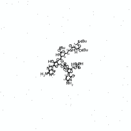 CC(C)(C)OC(=O)N[C@@H](CSSC(C)(C)C)C(=O)NCCCC[C@H](NC(=O)OC(C)(C)C)C(=O)O[C@H]1[C@@H](O)[C@H](n2cnc3c(N)ncnc32)O[C@@H]1COP(=O)(O)O[C@H]1C[C@H](n2ccc(N)nc2=O)O[C@@H]1COP(=O)(O)O